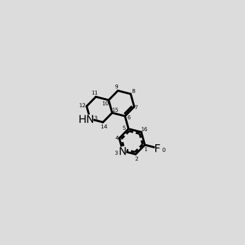 Fc1cncc(C2=CCCC3CCNCC23)c1